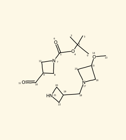 CC(C)(C)OC(=O)N1CC(C=O)C1.COC1CN(CC2CNC2)C1